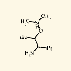 CC(C)C(N)C(O[SiH](C)C)C(C)(C)C